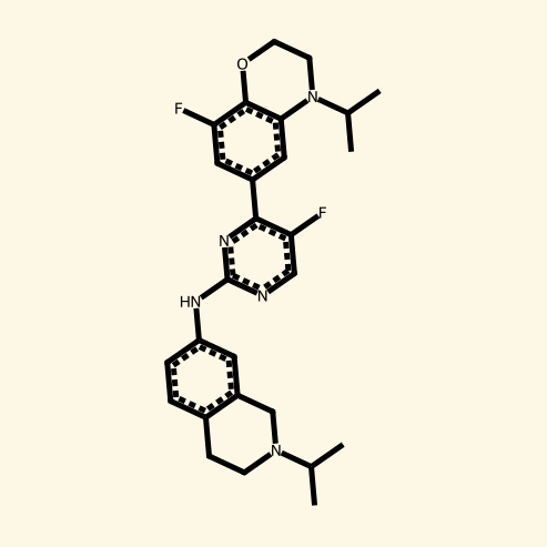 CC(C)N1CCc2ccc(Nc3ncc(F)c(-c4cc(F)c5c(c4)N(C(C)C)CCO5)n3)cc2C1